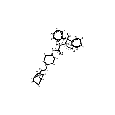 C[C@@H](NC(=O)N[C@H]1CC[C@H](CCN2C3CCC2CC3)CC1)C(O)(c1ccccc1)c1ccccc1